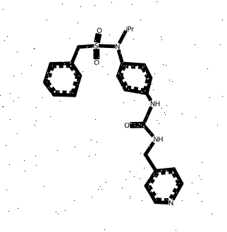 CC(C)N(c1ccc(NC(=O)NCc2ccncc2)cc1)S(=O)(=O)Cc1ccccc1